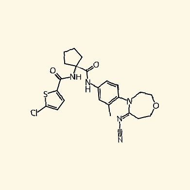 Cc1cc(NC(=O)C2(NC(=O)c3ccc(Cl)s3)CCCC2)ccc1N1CCOCCC1=NC#N